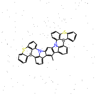 Cc1c2c3cccc4c3n(c2cc2c1c1cccc3c1n2-c1cccc2c1B3c1ccccc1S2)-c1cccc2c1B4c1ccccc1S2